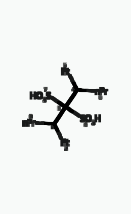 CCCC(CC)C(C(CC)CCC)(S(=O)(=O)O)S(=O)(=O)O